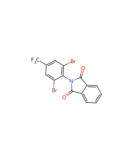 O=C1c2ccccc2C(=O)N1c1c(Br)cc(C(F)(F)F)cc1Br